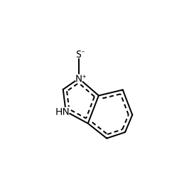 [S-][n+]1c[nH]c2ccccc21